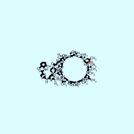 CC[C@@H]1NC(C)[C@H]([C@H](O)[C@H](C)CCCC(=O)N2CCN(c3cc(Nc4ncc(C(=O)Nc5c(C)cccc5Cl)s4)nc(C)n3)CC2)N(C)C(=O)[C@H](C(C)C)N(C)C(=O)[C@H](CC(C)C)N(C)C(=O)[C@H](CC(C)C)N(C)C(=O)[C@@H](C)NC(=O)[C@H](C)NC(=O)[C@H](CC(C)C)N(C)C(=O)[C@H](C(C)C)NC(=O)[C@H](CC(C)C)N(C)C(=O)CN(C)C1=O